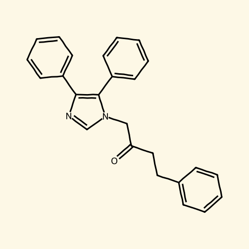 O=C(CCc1ccccc1)Cn1cnc(-c2ccccc2)c1-c1ccccc1